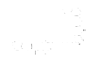 COc1cccc(CC(=O)Nc2nnc(CCCCC3=CC=C(NC(=O)Cc4ccccc4)NN3)s2)c1